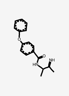 CC(=N)C(C)NC(=O)c1ccc(Oc2ccccc2)cc1